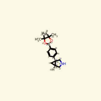 CC1(C)OB(c2ccc([C@@]34CNC[C@@H]3C4)cc2)OC1(C)C